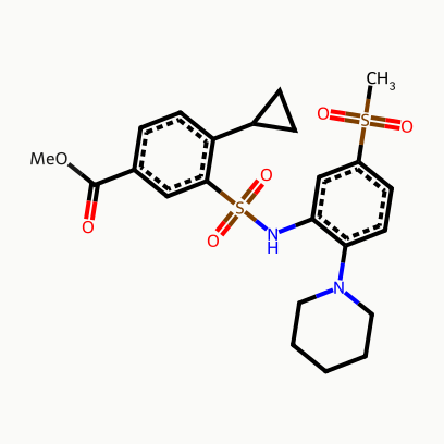 COC(=O)c1ccc(C2CC2)c(S(=O)(=O)Nc2cc(S(C)(=O)=O)ccc2N2CCCCC2)c1